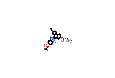 C=Cc1ccc2c3ccc(OC)cc3c3nc4cc(OC(=O)C(=C)C)ccc4nc3c2c1